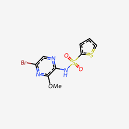 COc1nc(Br)cnc1NS(=O)(=O)c1cccs1